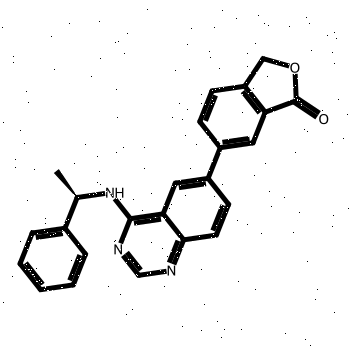 C[C@@H](Nc1ncnc2ccc(-c3ccc4c(c3)C(=O)OC4)cc12)c1ccccc1